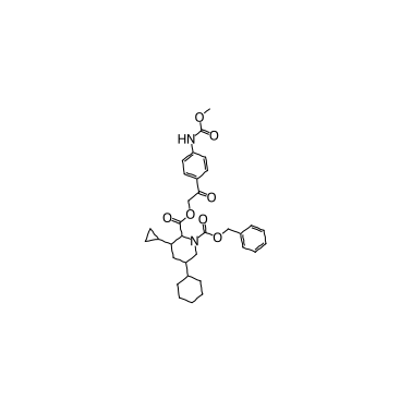 COC(=O)Nc1ccc(C(=O)COC(=O)C2C(C3CC3)CC(C3CCCCC3)CN2C(=O)OCc2ccccc2)cc1